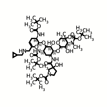 CN(C(=O)OC(C)(C)C)[C@@H]1[C@@H](O)[C@@H](O[C@@H]2[C@@H](O)[C@H](O[C@H]3OC(CNCC4CC4)=CC[C@H]3NC(=O)OC(C)(C)C)[C@@H](NC(=O)OC(C)(C)C)C[C@H]2NC(=O)C2(O)CCN(C(=O)OC(C)(C)C)C2)OC[C@]1(C)O